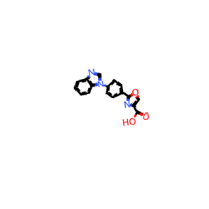 O=C(O)c1coc(-c2ccc(-n3cnc4ccccc43)cc2)n1